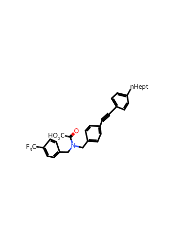 CCCCCCCc1ccc(C#Cc2ccc(CN(Cc3ccc(C(F)(F)F)cc3)C(=O)C(=O)O)cc2)cc1